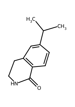 CC(C)c1ccc2c(c1)CCNC2=O